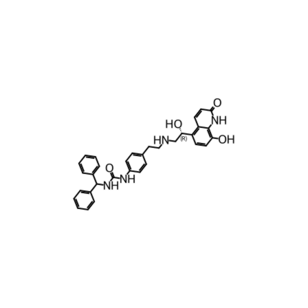 O=C(Nc1ccc(CCNC[C@H](O)c2ccc(O)c3[nH]c(=O)ccc23)cc1)NC(c1ccccc1)c1ccccc1